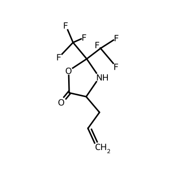 C=CCC1NC(C(F)(F)F)(C(F)(F)F)OC1=O